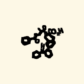 C1CCC(NC2CCCCC2)CC1.C[C@H](CSC(=O)c1ccccc1)C(=O)N1Cc2ccccc2C[C@H]1C(=O)O